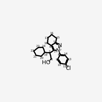 OCC(c1c2c(nn1-c1ccc(Cl)cc1)CCCC2)C1CCCCC1